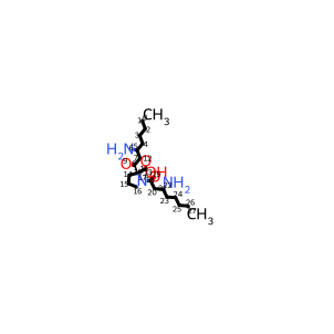 CCCCCC(N)CC(=O)[C@]1(C(=O)O)CCCN1C(=O)C[C@@H](N)CCCCC